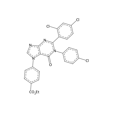 CCOC(=O)c1ccc(-n2cnc3nc(-c4ccc(Cl)cc4Cl)n(-c4ccc(Cl)cc4)c(=O)c32)cc1